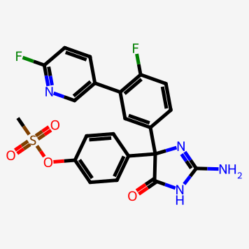 CS(=O)(=O)Oc1ccc(C2(c3ccc(F)c(-c4ccc(F)nc4)c3)N=C(N)NC2=O)cc1